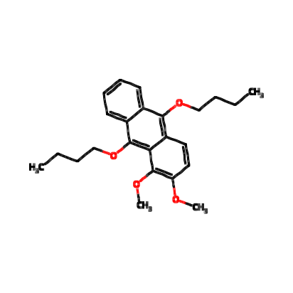 CCCCOc1c2ccccc2c(OCCCC)c2c(OC)c(OC)ccc12